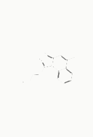 Cc1cc2nnc(SC[C]=O)n2c2ccccc12